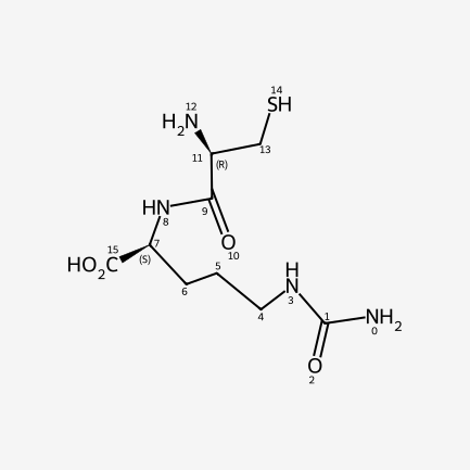 NC(=O)NCCC[C@H](NC(=O)[C@@H](N)CS)C(=O)O